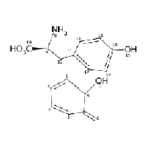 C=C1C=CC=CC1O.N[C@@H](Cc1ccc(O)cc1)C(=O)O